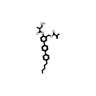 C=C(C)C(=O)OCc1cc(-c2ccc(-c3ccc(CCCCC)cc3)cc2)ccc1OC(=O)C(C)CO